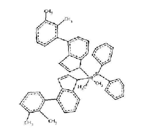 Cc1cccc(-c2cccc3c2C=C[CH]3[Hf]([CH3])([CH3])([CH]2C=Cc3c(-c4cccc(C)c4C)cccc32)=[Si](c2ccccc2)c2ccccc2)c1C